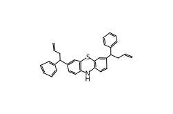 C=CCC(c1ccccc1)c1ccc2c(c1)Sc1cc(C(CC=C)c3ccccc3)ccc1N2